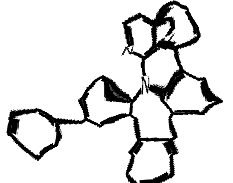 c1ccc(-c2ccc3c(c2)-c2ccccc2-c2cccc(-c4ccccc4)c2N3c2ncccn2)cc1